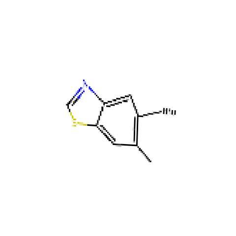 Cc1cc2scnc2cc1C(C)(C)C